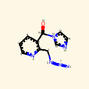 [N-]=[N+]=NCc1ncccc1C(=O)n1ccnc1